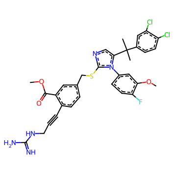 COC(=O)c1cc(CSc2ncc(C(C)(C)c3ccc(Cl)c(Cl)c3)n2-c2ccc(F)c(OC)c2)ccc1C#CCNC(=N)N